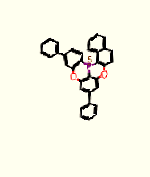 S=P12c3ccc(-c4ccccc4)cc3Oc3cc(-c4ccccc4)cc(c31)Oc1ccc3ccccc3c12